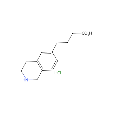 Cl.O=C(O)CCCc1ccc2c(c1)CCNC2